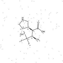 C[C@H](N(C(=O)O)[C@@H]1CNC[C@H]1O)C(F)(F)F